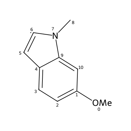 COc1ccc2c[c]n(C)c2c1